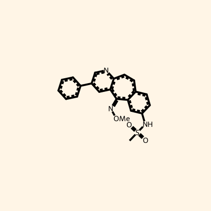 CO/N=c1\c2cc(NS(C)(=O)=O)ccc2ccc2ncc(-c3ccccc3)cc12